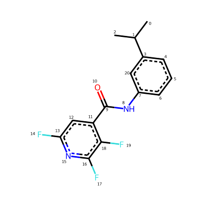 CC(C)c1cccc(NC(=O)c2cc(F)nc(F)c2F)c1